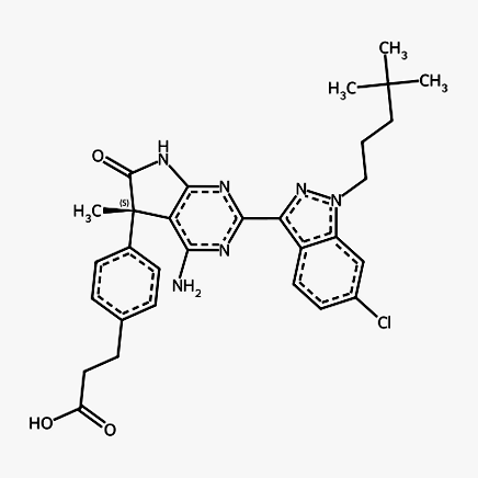 CC(C)(C)CCCn1nc(-c2nc(N)c3c(n2)NC(=O)[C@@]3(C)c2ccc(CCC(=O)O)cc2)c2ccc(Cl)cc21